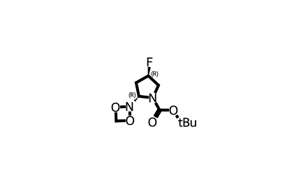 CC(C)(C)OC(=O)N1C[C@H](F)C[C@H]1N1OCO1